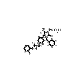 Cc1ccccc1NC(=O)Nc1ccc([C@@]2(C)C(=O)N(CC(=O)O)C(=O)N2Cc2ccccc2)cc1